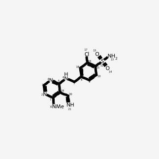 CNc1ncnc(NCc2ccc(S(N)(=O)=O)c(Cl)c2)c1C=N